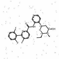 CC[C@H]1O[C@@H](c2ccncc2NC(=O)c2ccc(F)c(-c3c(F)cccc3F)n2)C[C@@H](O)[C@H]1C